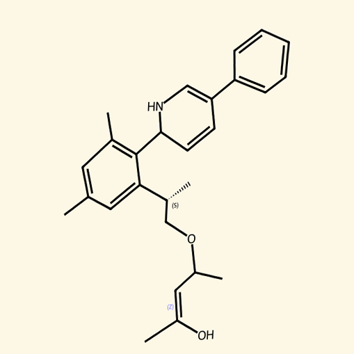 C/C(O)=C/C(C)OC[C@@H](C)c1cc(C)cc(C)c1C1C=CC(c2ccccc2)=CN1